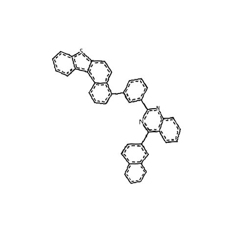 c1cc(-c2nc(-c3ccc4ccccc4c3)c3ccccc3n2)cc(-c2cccc3c2ccc2sc4ccccc4c23)c1